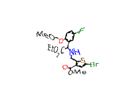 CCOC(=O)C(NCc1sc(Br)cc1C(=O)OC)c1cc(F)ccc1OCOC